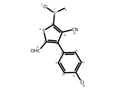 C[S+]([O-])c1sc(C=O)c(-c2ccc(Cl)cc2)c1C#N